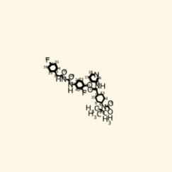 CC(C)(C)N(C(=O)O)C1CCC(C(=O)Nc2cnccc2Oc2ccc(NC(=O)NC(=O)Cc3ccc(F)cc3)cc2F)CC1